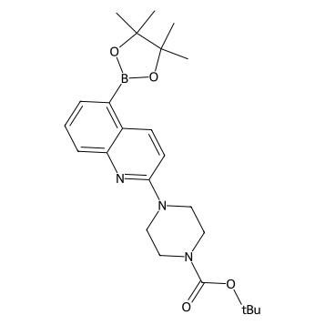 CC(C)(C)OC(=O)N1CCN(c2ccc3c(B4OC(C)(C)C(C)(C)O4)cccc3n2)CC1